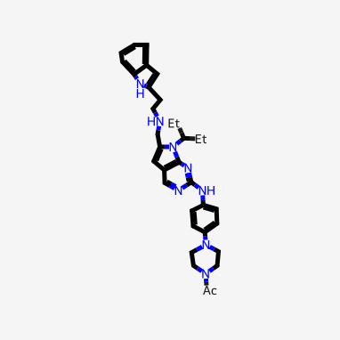 CCC(CC)n1c(CNCCc2cc3ccccc3[nH]2)cc2cnc(Nc3ccc(N4CCN(C(C)=O)CC4)cc3)nc21